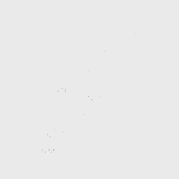 CN/N=C(\C)c1cnc(OCCCC=O)nc1